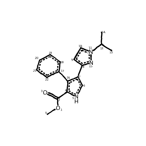 COC(=O)c1[nH]cc(-c2ccn(C(C)C)n2)c1-c1ccccc1